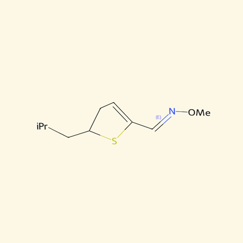 CO/N=C/C1=CCC(CC(C)C)S1